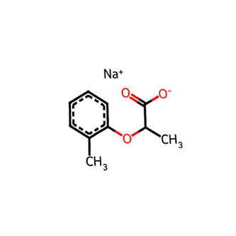 Cc1ccccc1OC(C)C(=O)[O-].[Na+]